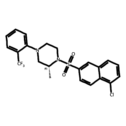 C[C@@H]1CN(c2ccccc2C(F)(F)F)CCN1S(=O)(=O)c1ccc2c(Cl)cccc2c1